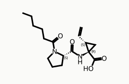 C=C[C@@H]1C[C@]1(NC(=O)[C@@H]1CCCN1C(=O)CCCCC)C(=O)O